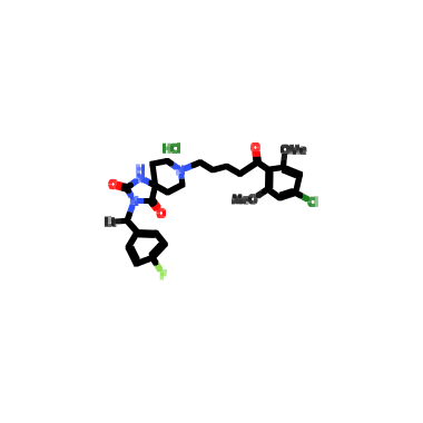 CCC(c1ccc(F)cc1)N1C(=O)NC2(CCN(CCCCC(=O)c3c(OC)cc(Cl)cc3OC)CC2)C1=O.Cl